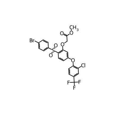 COC(=O)COc1cc(Oc2ccc(C(F)(F)F)cc2Cl)ccc1S(=O)(=O)c1ccc(Br)cc1